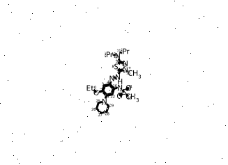 CCOc1cc(N=Nc2sc(N(C(C)C)C(C)C)n[n+]2C)c(NS(C)(=O)=O)cc1N1CCCCC1